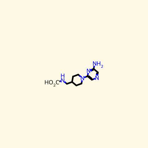 Nc1cncc(N2CCC(CNC(=O)O)CC2)n1